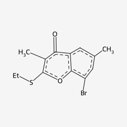 CCSc1oc2c(Br)cc(C)cc2c(=O)c1C